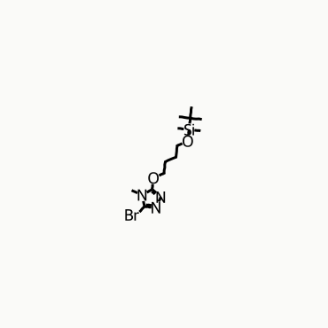 Cn1c(Br)nnc1OCCCCO[Si](C)(C)C(C)(C)C